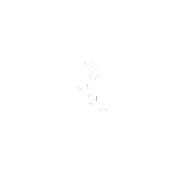 CCCCCCOc1nc(C(F)(F)F)ccc1CNC(=O)C(C)c1ccc(NS(C)(=O)=O)c(F)c1